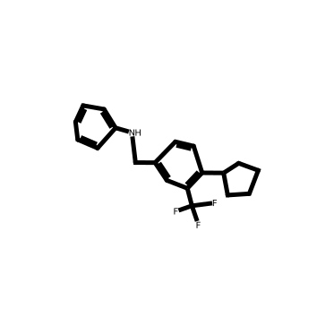 FC(F)(F)c1cc(CNc2ccccc2)ccc1C1CCCC1